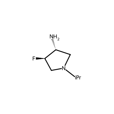 CC(C)N1C[C@@H](N)[C@H](F)C1